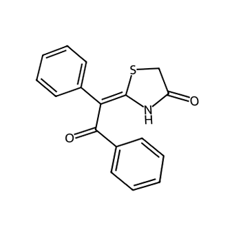 O=C1CSC(=C(C(=O)c2ccccc2)c2ccccc2)N1